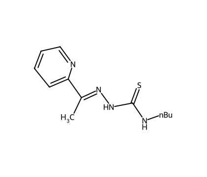 CCCCNC(=S)NN=C(C)c1ccccn1